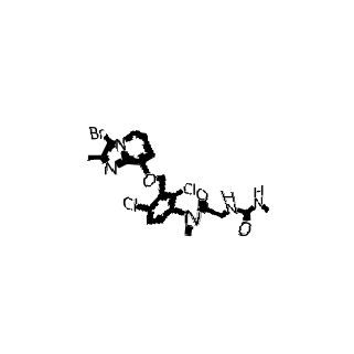 CNC(=O)NCC(=O)N(C)c1ccc(Cl)c(COc2cccn3c(Br)c(C)nc23)c1Cl